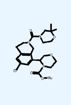 CC(C)(C)OC(=O)N1CCOCC1c1cc(Cl)cc2c1CN(C(=O)N1CCOC(C)(C)C1)CC2